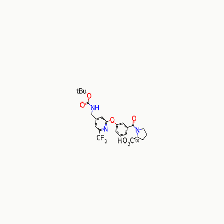 CC(C)(C)OC(=O)NCc1cc(Oc2cccc(C(=O)N3CCC[C@H]3C(=O)O)c2)nc(C(F)(F)F)c1